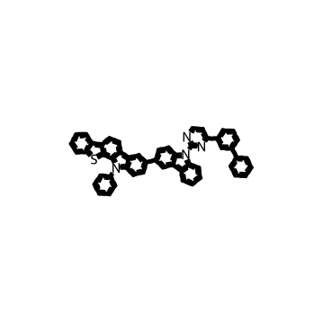 c1ccc(-c2cccc(-c3ccnc(-n4c5ccccc5c5cc(-c6ccc7c(c6)c6ccc8c9ccccc9sc8c6n7-c6ccccc6)ccc54)n3)c2)cc1